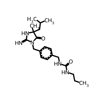 CCCNC(=O)NCc1ccc(CN2C(=N)NC(C)(CC(C)C)C2=O)cc1